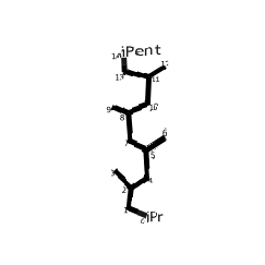 [CH2]C(C)CC(C)CC(C)CC(C)CC(C)CC(C)C[CH]C